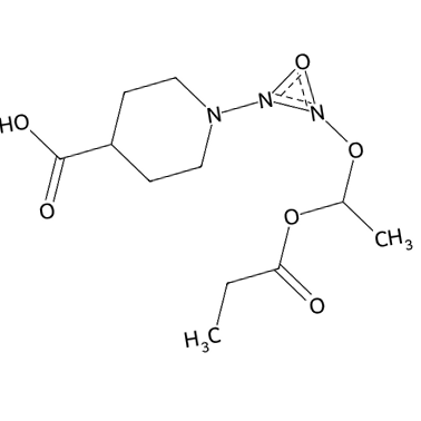 CCC(=O)OC(C)On1on1N1CCC(C(=O)O)CC1